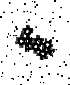 CC1(C)c2cccc3c2-c2c(cccc21)-c1ccc(C2N=C(c4ccccc4)c4ccccc4N2)c2cccc-3c12